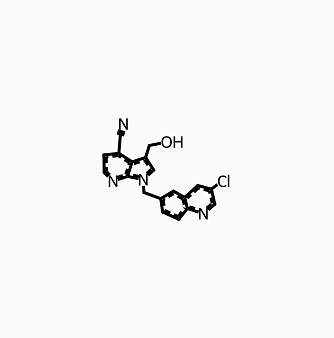 N#Cc1ccnc2c1c(CO)cn2Cc1ccc2ncc(Cl)cc2c1